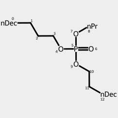 CCCCCCCCCCCCCOP(=O)(OCCC)OCCCCCCCCCCCC